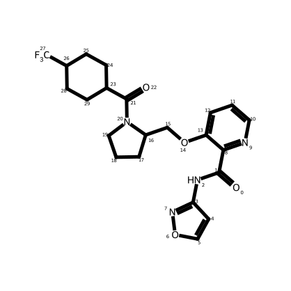 O=C(Nc1ccon1)c1ncccc1OCC1CCCN1C(=O)C1CCC(C(F)(F)F)CC1